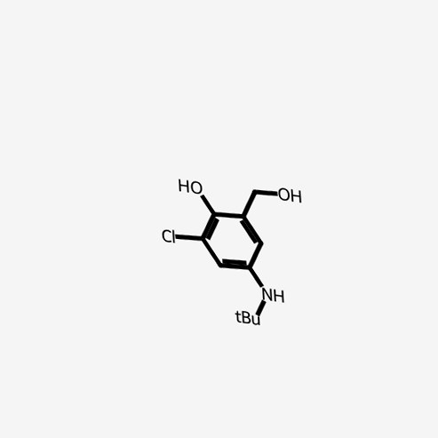 CC(C)(C)Nc1cc(Cl)c(O)c(CO)c1